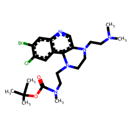 CN(C)CCN1CCN(CCN(C)C(=O)OC(C)(C)C)c2c1cnc1cc(Br)c(Cl)cc21